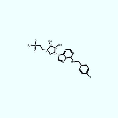 NS(=O)(=O)CC[C@H]1O[C@@H](n2cnc3c(NCc4ccc(Cl)cc4)ncnc32)[C@H](O)[C@@H]1O